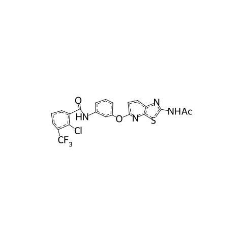 CC(=O)Nc1nc2ccc(Oc3cccc(NC(=O)c4cccc(C(F)(F)F)c4Cl)c3)nc2s1